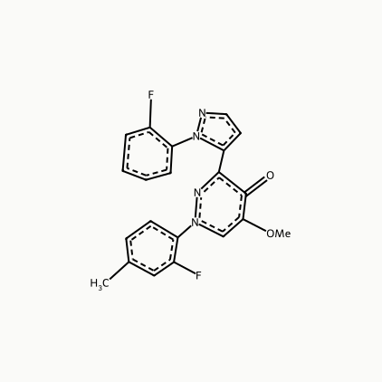 COc1cn(-c2ccc(C)cc2F)nc(-c2ccnn2-c2ccccc2F)c1=O